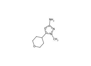 Cn1nc(N)cc1C1CCOCC1